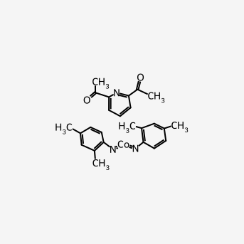 CC(=O)c1cccc(C(C)=O)n1.Cc1ccc([N]=[Co]=[N]c2ccc(C)cc2C)c(C)c1